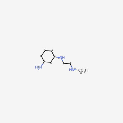 NC1CCCC(NCCNC(=O)O)C1